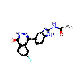 COC(=O)Nc1nc2cc(-c3n[nH]c(=O)c4ccc(F)cc34)ccc2[nH]1